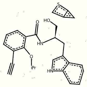 C#Cc1cccc(C(=O)N[C@@H](CO)Cc2c[nH]c3ccccc23)c1OC(C)C.c1sc2cc1-2